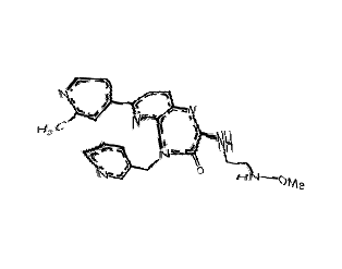 CONCCNc1nc2ccc(-c3ccnc(C)c3)nc2n(Cc2cccnc2)c1=O